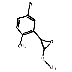 COC1OC1c1cc(Br)ccc1C